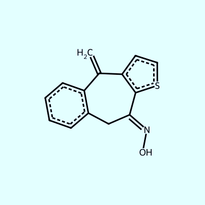 C=C1c2ccccc2CC(=NO)c2sccc21